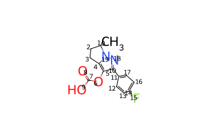 CC1CCc2c(OC(=O)O)c(-c3ccc(F)cc3)nn21